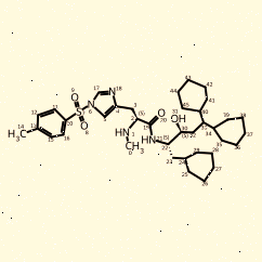 CN[C@@H](Cc1cn(S(=O)(=O)c2ccc(C)cc2)cn1)C(=O)N[C@@H](CC1CCCCC1)[C@@H](O)CC(C1CCCCC1)C1CCCCC1